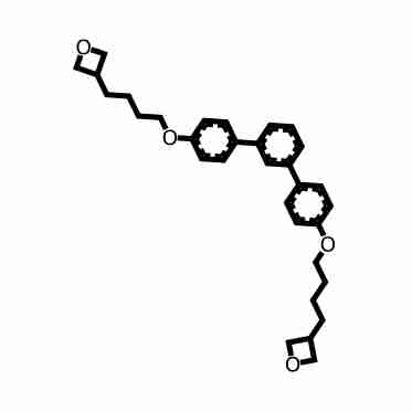 c1cc(-c2ccc(OCCCCC3COC3)cc2)cc(-c2ccc(OCCCCC3COC3)cc2)c1